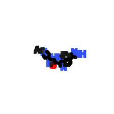 CC(=O)N1CCC(c2cc(-c3cnc4ccc(-c5cn[nH]c5)cc4c3NC(C)C)on2)CC1